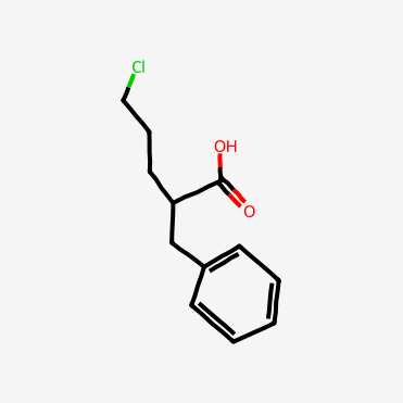 O=C(O)C(CCCCl)Cc1ccccc1